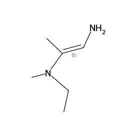 CCN(C)/C(C)=C/N